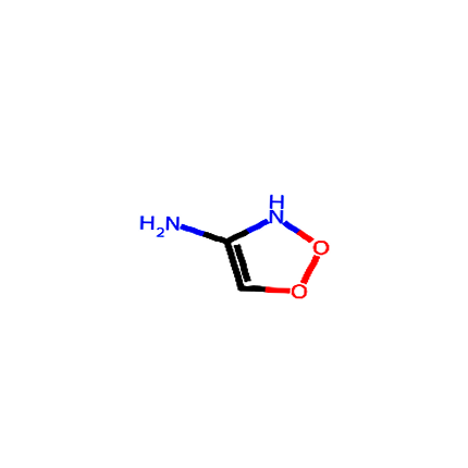 NC1=COON1